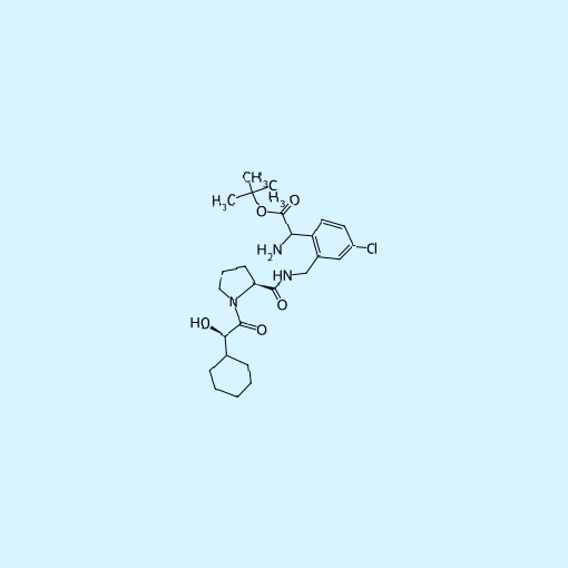 CC(C)(C)OC(=O)C(N)c1ccc(Cl)cc1CNC(=O)[C@@H]1CCCN1C(=O)[C@H](O)C1CCCCC1